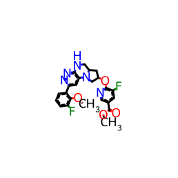 COC(=O)c1cnc(OC2CC3CNc4nnc(-c5cccc(F)c5OC)cc4N3C2)c(F)c1